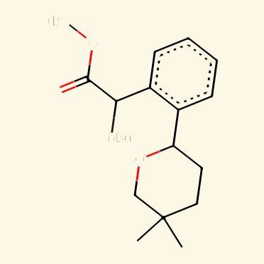 CCCCC(C(=O)OC(C)(C)C)c1ccccc1C1CCC(C)(C)CO1